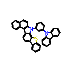 c1cc(-n2c3ccccc3c3ccccc32)cc(-n2c3ccc4ccccc4c3c3ccc4c5ccccc5sc4c32)c1